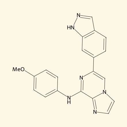 COc1ccc(Nc2nc(-c3ccc4cn[nH]c4c3)cn3ccnc23)cc1